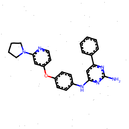 Nc1nc(Nc2ccc(Oc3ccnc(N4CCCC4)c3)cc2)cc(-c2ccccc2)n1